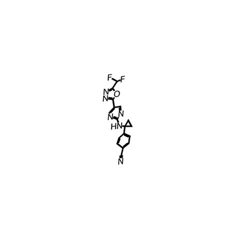 N#Cc1ccc(C2(Nc3ncc(-c4nnc(C(F)F)o4)cn3)CC2)cc1